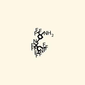 NCc1ccc(C2CC(c3cc(C(F)(F)F)nc(C(F)(F)F)c3)(C(F)(F)F)C=N2)cc1C(F)(F)F